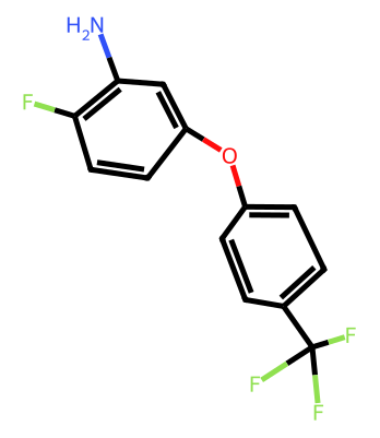 Nc1cc(Oc2ccc(C(F)(F)F)cc2)ccc1F